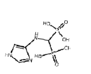 O=P(O)(O)C(Nc1c[nH]cn1)P(=O)(O)O